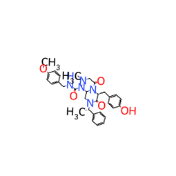 COc1ccc(CNC(=O)N2C3CN([C@@H](C)c4ccccc4)C(=O)[C@H](Cc4ccc(O)cc4)N3C(=O)CN2C)cc1